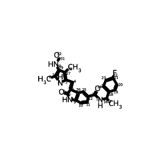 Cc1[nH]c(/C=C2\C(=O)Nc3ccc(C(=O)NC(C)c4ccc(F)cc4)cc32)c(C)c1NC=O